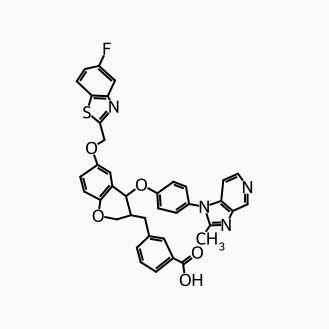 Cc1nc2cnccc2n1-c1ccc(OC2c3cc(OCc4nc5cc(F)ccc5s4)ccc3OCC2Cc2cccc(C(=O)O)c2)cc1